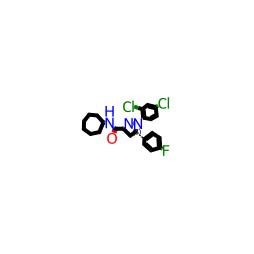 O=C(NC1CCCCCC1)C1=NN(c2ccc(Cl)cc2Cl)[C@H](c2ccc(F)cc2)C1